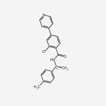 Cc1ccc([C@H](C)NC(=O)c2ccc(-c3ccncc3)cc2Cl)cc1